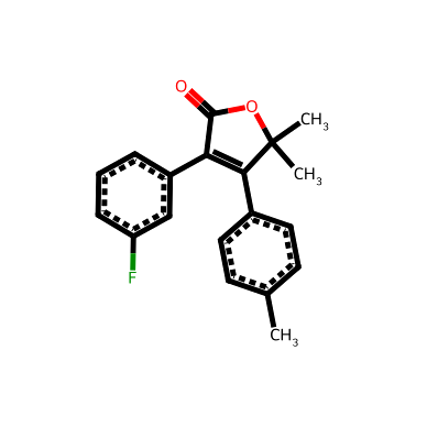 Cc1ccc(C2=C(c3cccc(F)c3)C(=O)OC2(C)C)cc1